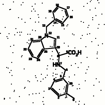 Cc1cccc(CNC(C(=O)O)c2cn(Cc3ccccc3)c3ccccc23)c1